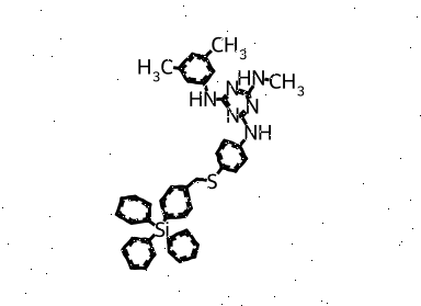 CNc1nc(Nc2ccc(SCc3ccc([Si](c4ccccc4)(c4ccccc4)c4ccccc4)cc3)cc2)nc(Nc2cc(C)cc(C)c2)n1